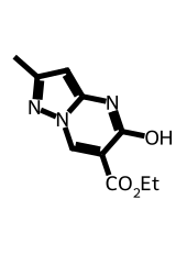 CCOC(=O)c1cn2nc(C)cc2nc1O